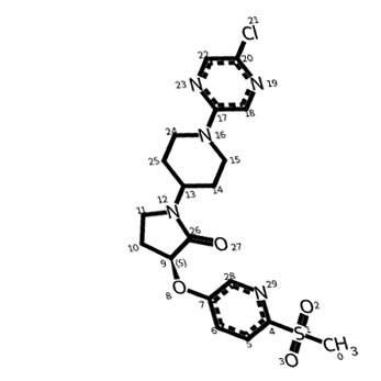 CS(=O)(=O)c1ccc(O[C@H]2CCN(C3CCN(c4cnc(Cl)cn4)CC3)C2=O)cn1